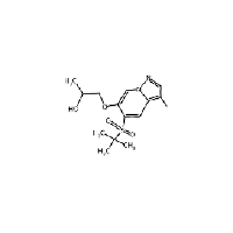 CC(O)COc1cn2ncc(I)c2cc1S(=O)(=O)C(C)(C)C